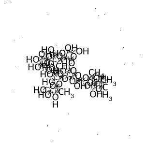 CC(C)[C@@H](OC(CO)[C@H](CO)O[C@@H]1OC(CO[C@H]2OC(CO)[C@@H](O)C(O)[C@H]2O[C@@H]2O[C@@H](CO)[C@@H](O[C@@H]3OC(CO)[C@H](O)C(O)[C@@H]3O)C(O)C2C)[C@@H](O)C(O[C@H]2O[C@H](CO)[C@@H](O)C(O)C2O[C@@H]2OC(CO)[C@@H](O)C(O)[C@@H]2C)[C@H]1O)O[C@@H]1C(CO)O[C@@H](C)[C@@H](C)C1O